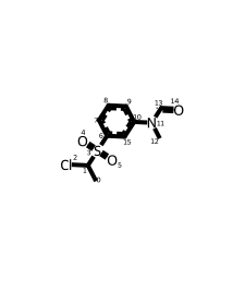 CC(Cl)S(=O)(=O)c1cccc(N(C)[C]=O)c1